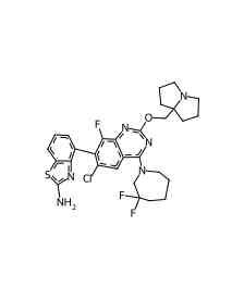 Nc1nc2c(-c3c(Cl)cc4c(N5CCCCC(F)(F)C5)nc(OCC56CCCN5CCC6)nc4c3F)cccc2s1